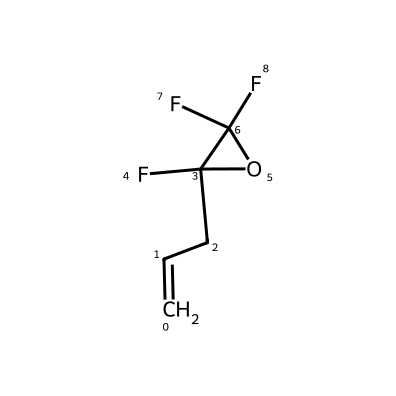 C=CCC1(F)OC1(F)F